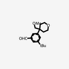 COCC1(c2cc(C=O)cc(C(C)(C)C)c2)CCOCC1